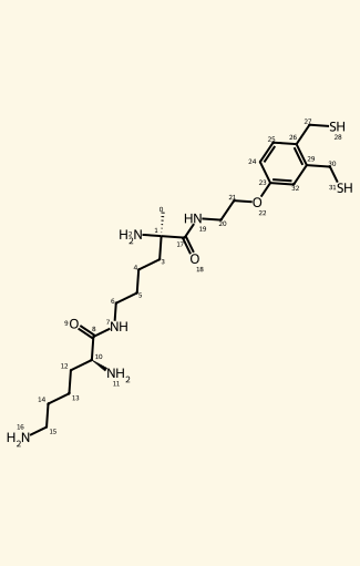 C[C@@](N)(CCCCNC(=O)[C@@H](N)CCCCN)C(=O)NCCOc1ccc(CS)c(CS)c1